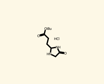 CC(C)COC(=O)CCC1NCC(=O)N1.Cl